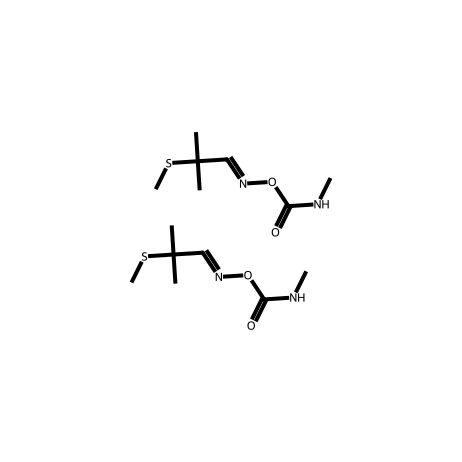 CNC(=O)ON=CC(C)(C)SC.CNC(=O)ON=CC(C)(C)SC